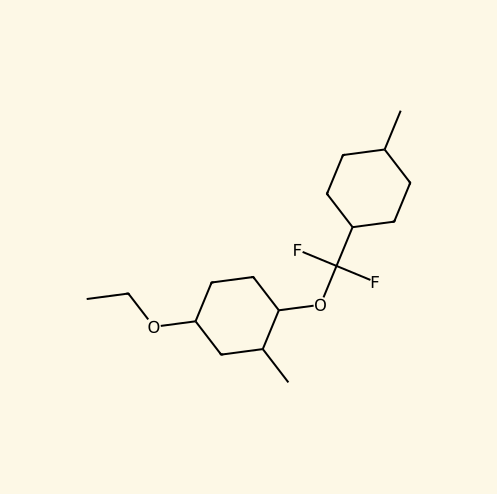 CCOC1CCC(OC(F)(F)C2CCC(C)CC2)C(C)C1